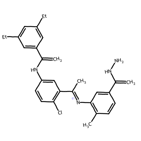 C=C(NN)c1ccc(C)c(/N=C(\C)c2cc(NC(=C)c3cc(CC)cc(CC)c3)ccc2Cl)c1